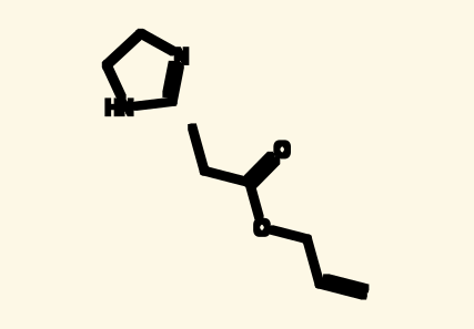 C1=NCCN1.C=CCOC(=O)CC